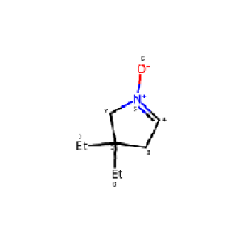 CCC1(CC)CC=[N+]([O-])C1